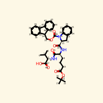 CC(C)[C@H](NC(=O)[C@H](CCCC(=O)OC(C)(C)C)NC(=O)[C@@H]1Cc2ccccc2N1C(=O)OCC1c2ccccc2-c2ccccc21)C(=O)O